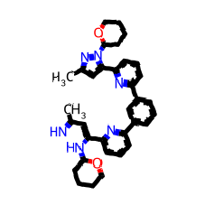 CC(=N)/C=C(\NC1CCCCO1)c1cccc(-c2cccc(-c3cccc(-c4cc(C)nn4C4CCCCO4)n3)c2)n1